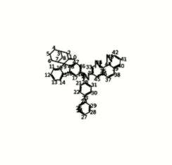 CC1CC2CCCC(C2)C12c1ccccc1-c1cc(N(c3ccc(-c4ccccc4)cc3)c3cnc4c(ccc5cccnc54)c3)ccc12